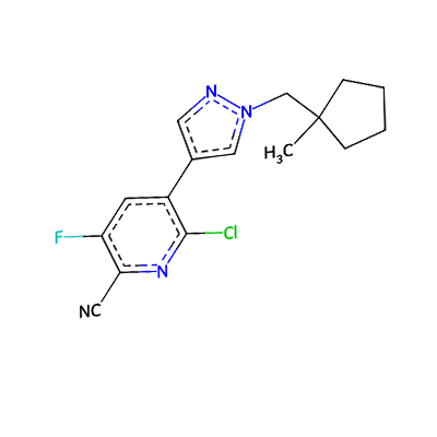 CC1(Cn2cc(-c3cc(F)c(C#N)nc3Cl)cn2)CCCC1